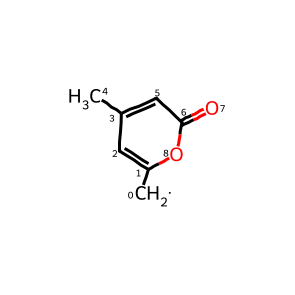 [CH2]c1cc(C)cc(=O)o1